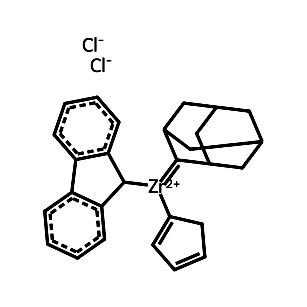 C1=CC[C]([Zr+2](=[C]2C3CC4CC(C3)CC2C4)[CH]2c3ccccc3-c3ccccc32)=C1.[Cl-].[Cl-]